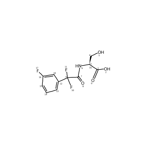 O=C(O)[C@H](CO)NC(=O)C(F)(F)c1cccc(F)c1